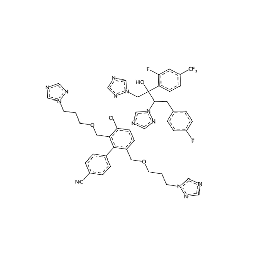 N#Cc1ccc(-c2c(COCCCn3cncn3)ccc(Cl)c2COCCCn2cncn2)cc1.OC(Cn1cncn1)(c1ccc(C(F)(F)F)cc1F)C(Cc1ccc(F)cc1)n1cncn1